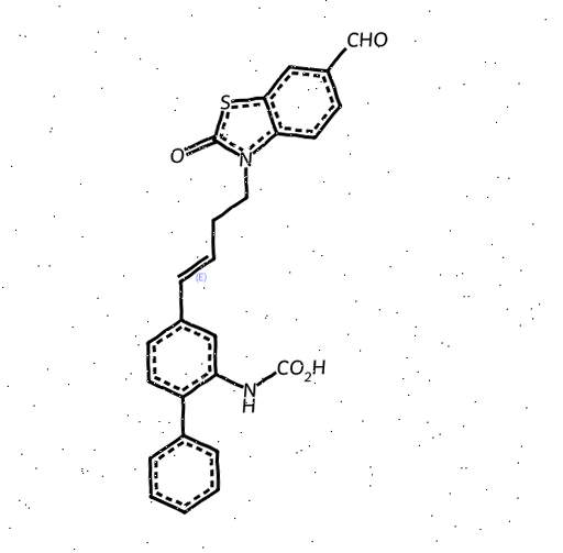 O=Cc1ccc2c(c1)sc(=O)n2CC/C=C/c1ccc(-c2ccccc2)c(NC(=O)O)c1